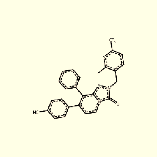 Cc1nc(C(F)(F)F)ccc1Cn1nc2c(-c3ccccc3)c(-c3ccc(C#N)cc3)ccn2c1=O